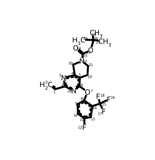 C=Cc1nc2c(c(Oc3ccc(F)cc3C(F)(F)F)n1)CCN(C(=O)OC(C)(C)C)C2